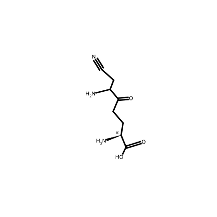 N#CCC(N)C(=O)CC[C@H](N)C(=O)O